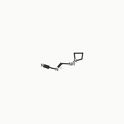 N#C/N=[C]/NN1CCC1